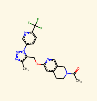 CC(=O)N1CCc2cc(OCc3c(C)nnn3-c3ccc(C(F)(F)F)nc3)ncc2C1